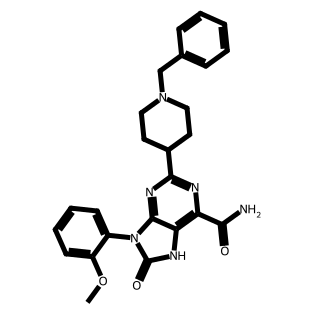 COc1ccccc1-n1c(=O)[nH]c2c(C(N)=O)nc(C3CCN(Cc4ccccc4)CC3)nc21